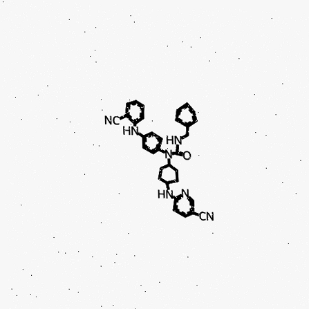 N#Cc1ccc(NC2CCC(N(C(=O)NCc3ccccc3)c3ccc(Nc4ccccc4C#N)cc3)CC2)nc1